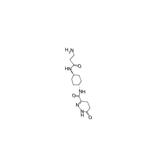 NCCC(=O)N[C@H]1CC[C@H](NC(=O)C2=NNC(=O)CC2)CC1